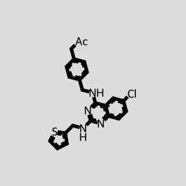 CC(=O)Cc1ccc(CNc2nc(NCc3cccs3)nc3ccc(Cl)cc23)cc1